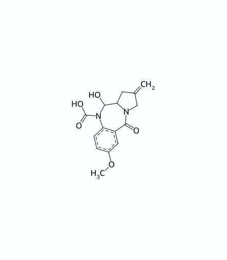 C=C1CC2C(O)N(C(=O)O)c3ccc(OC)cc3C(=O)N2C1